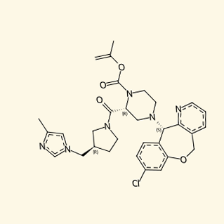 C=C(C)OC(=O)N1CCN([C@H]2c3ccc(Cl)cc3OCc3cccnc32)C[C@@H]1C(=O)N1CC[C@@H](Cn2cnc(C)c2)C1